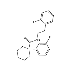 O=C(NCCc1ccccc1F)C1(c2cccc(F)c2)CCCCC1